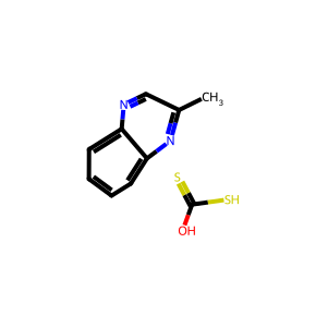 Cc1cnc2ccccc2n1.OC(=S)S